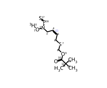 [3H]ON(C/C=C\CSCOC(=O)C(C)(C)C)P=S